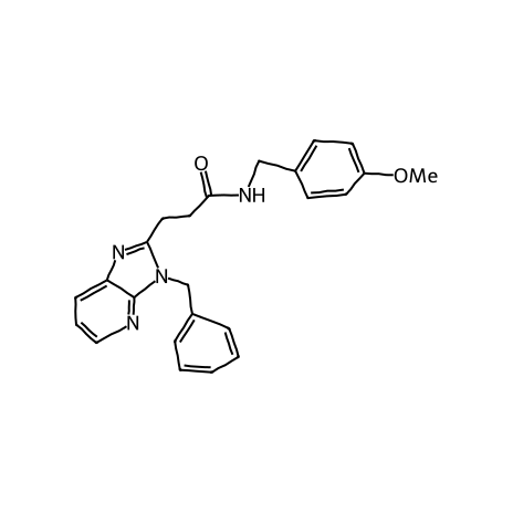 COc1ccc(CNC(=O)CCc2nc3cccnc3n2Cc2ccccc2)cc1